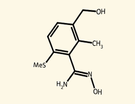 CSc1ccc(CO)c(C)c1C(N)=NO